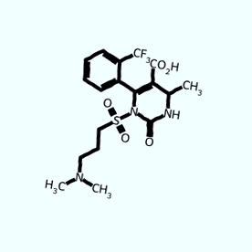 CC1NC(=O)N(S(=O)(=O)CCCN(C)C)C(c2ccccc2C(F)(F)F)=C1C(=O)O